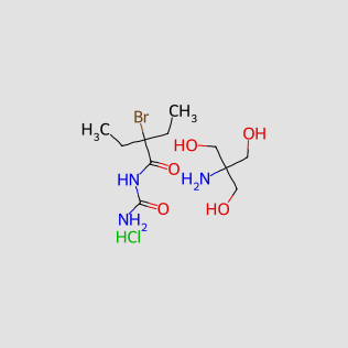 CCC(Br)(CC)C(=O)NC(N)=O.Cl.NC(CO)(CO)CO